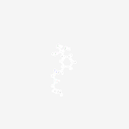 CCO/C=N\CC1C=C(C(F)(F)F)C=CC1